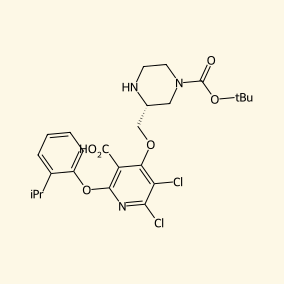 CC(C)c1ccccc1Oc1nc(Cl)c(Cl)c(OC[C@H]2CN(C(=O)OC(C)(C)C)CCN2)c1C(=O)O